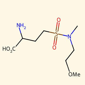 COCCN(C)S(=O)(=O)CCC(N)C(=O)O